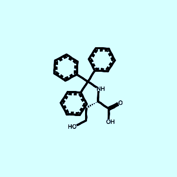 O=C(O)[C@H](CCO)NC(c1ccccc1)(c1ccccc1)c1ccccc1